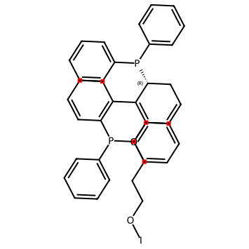 IOCCCOC1=C(C2=C(P(c3ccccc3)c3ccccc3)C=CCC2)[C@H](P(c2ccccc2)c2ccccc2)CC=C1